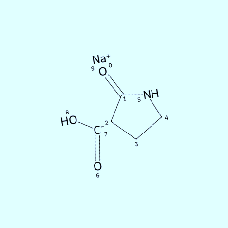 O=C1CCCN1.O=[C-]O.[Na+]